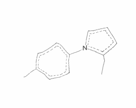 Cc1ccc(-n2cccc2C)cc1